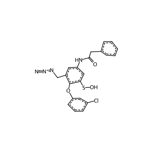 [N-]=[N+]=NCc1cc(NC(=O)Cc2ccccc2)cc(SO)c1Oc1cccc(Cl)c1